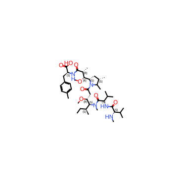 CC[C@H](C)[C@@H]([C@@H](CC(=O)N1C(C)[C@@H](C)C[C@H]1[C@H](OC)[C@@H](C)C(=O)N[C@@H](Cc1ccc(C)cc1)C(=O)O)OC)N(C)C(=O)[C@@H](NC(=O)[C@@H](NC)C(C)C)C(C)C